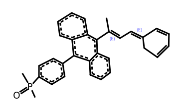 C/C(=C\C=C1\C=CC=CC1)c1c2ccccc2c(-c2ccc(P(C)(C)=O)cc2)c2ccccc12